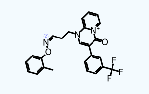 Cc1ccccc1O/N=C\CCn1cc(-c2cccc(C(F)(F)F)c2)c(=O)[n+]2ccccc12